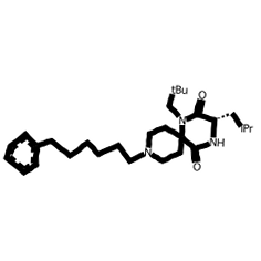 CC(C)C[C@@H]1NC(=O)C2(CCN(CCCCCCc3ccccc3)CC2)N(CC(C)(C)C)C1=O